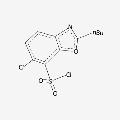 CCCCc1nc2ccc(Cl)c(S(=O)(=O)Cl)c2o1